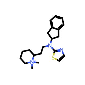 C[N+]1(C)CCCCC1CCN(c1nccs1)C1Cc2ccccc2C1